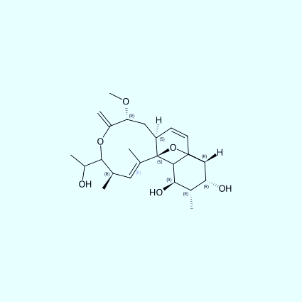 C=C1OC(C(C)O)[C@H](C)/C=C(\C)[C@]23O[C@@H]4C(C=C[C@@H]2C[C@H]1OC)C3[C@H](O)[C@@H](C)[C@H]4O